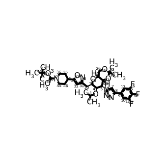 CC(C)O[C@@H]1[C@@H](n2cc(-c3cc(F)c(F)c(F)c3)nn2)[C@H]2OC(C)(C)OC[C@H]2O[C@@H]1Cc1cc(C2CCN(C(=O)OC(C)(C)C)CC2)on1